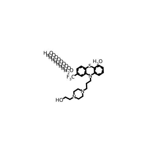 O.O.O.O.O.O.O.O.O.O.OCCN1CCN(CCCN2c3ccccc3Sc3ccc(C(F)(F)F)cc32)CC1